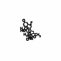 CCC(=O)O[C@]1(C(=O)S)C(C)CC2C3C[C@H](F)C4=CC(=O)C=CC4(C)[C@@]3(F)C(O)C[C@@]21C